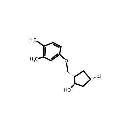 Cc1ccc(OC[C@@H]2C[C@H](Cl)C[C@H]2O)cc1C